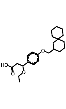 CCOC(CC(=O)O)c1ccc(OCC2CCCC3(CCCCC3)C2)cc1